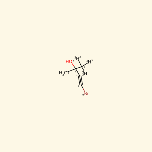 [2H]C([2H])([2H])C(C)(O)C#CBr